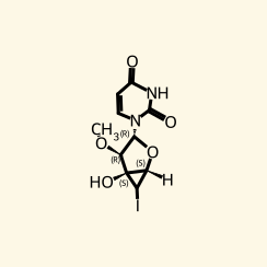 CO[C@H]1[C@H](n2ccc(=O)[nH]c2=O)O[C@@H]2C(I)[C@@]21O